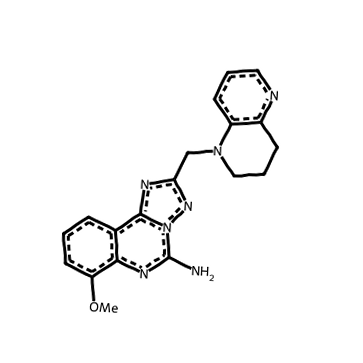 COc1cccc2c1nc(N)n1nc(CN3CCCc4ncccc43)nc21